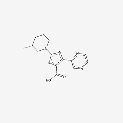 C[C@@H]1CCCN(c2nc(-c3cnccn3)c(C(=O)O)s2)C1